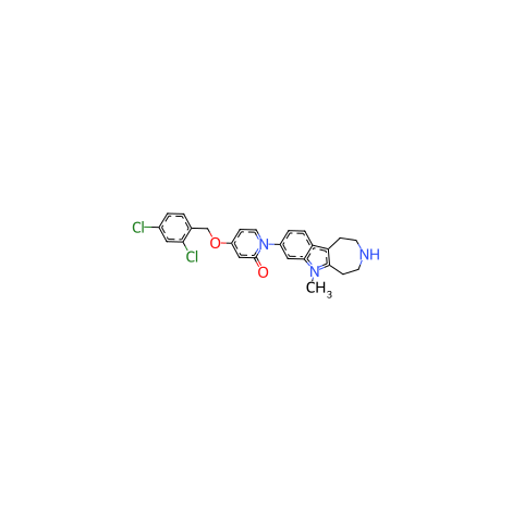 Cn1c2c(c3ccc(-n4ccc(OCc5ccc(Cl)cc5Cl)cc4=O)cc31)CCNCC2